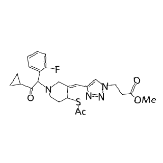 COC(=O)CCn1cc(/C=C2/CN(C(C(=O)C3CC3)c3ccccc3F)CCC2SC(C)=O)nn1